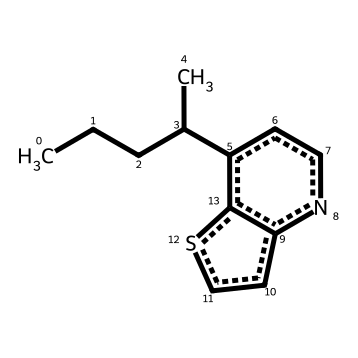 CCCC(C)c1ccnc2ccsc12